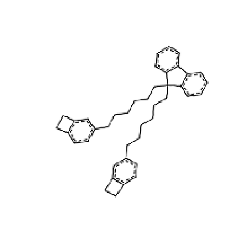 c1ccc2c(c1)-c1ccccc1C2(CCCCCCc1ccc2c(c1)CC2)CCCCCCc1ccc2c(c1)CC2